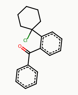 O=C(c1ccccc1)c1ccccc1C1(Cl)CCCCC1